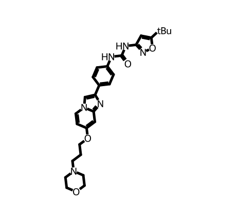 CC(C)(C)c1cc(NC(=O)Nc2ccc(-c3cn4ccc(OCCCN5CCOCC5)cc4n3)cc2)no1